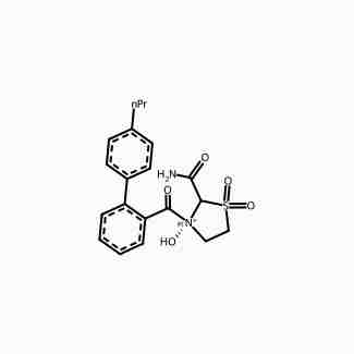 CCCc1ccc(-c2ccccc2C(=O)[N@+]2(O)CCS(=O)(=O)C2C(N)=O)cc1